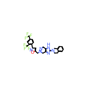 FC(F)(F)c1ccc(-c2cc(CN3Cc4nc(N5CCc6ccccc6C5)[nH]c4C=N3)on2)c(C(F)(F)F)c1